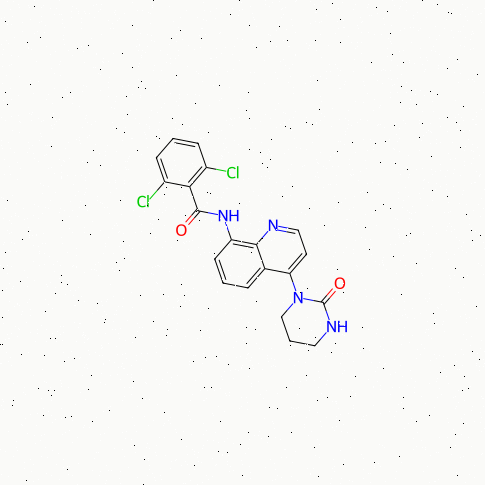 O=C(Nc1cccc2c(N3CCCNC3=O)ccnc12)c1c(Cl)cccc1Cl